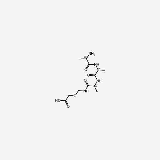 C[C@H](N)C(=O)N[C@H](C)C(=O)N[C@@H](C)C(=O)NCOCC(=O)O